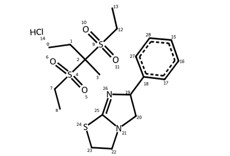 CCC(C)(S(=O)(=O)CC)S(=O)(=O)CC.Cl.c1ccc(C2CN3CCSC3=N2)cc1